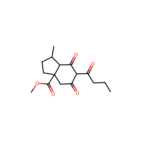 CCCC(=O)C1C(=O)CC2(C(=O)OC)CCC(C)C2C1=O